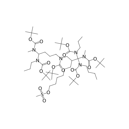 CCCCN(C(=O)OC(C)(C)C)C(C(CCCCCCOS(C)(=O)=O)CN(CCCC(N(C)C(=O)OC(C)(C)C)N(CCC)C(=O)OC(C)(C)C)C(=O)OC(C)(C)C)(N(C)C(=O)OC(C)(C)C)N(CCC)C(=O)OC(C)(C)C